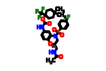 CC(=O)NC[C@H]1CN(S(=O)(=O)c2ccc(F)cc2)c2cc(NC(=O)OC3(C(F)(F)F)CCC(C)(C)CC3)ccc2O1